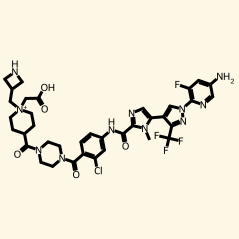 Cn1c(-c2cn(-c3ncc(N)cc3F)nc2C(F)(F)F)cnc1C(=O)Nc1ccc(C(=O)N2CCN(C(=O)C3CC[N+](CC(=O)O)(CC4CNC4)CC3)CC2)c(Cl)c1